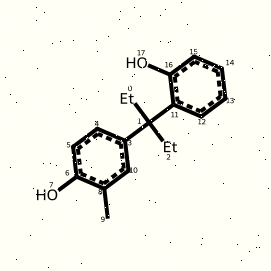 CCC(CC)(c1ccc(O)c(C)c1)c1ccccc1O